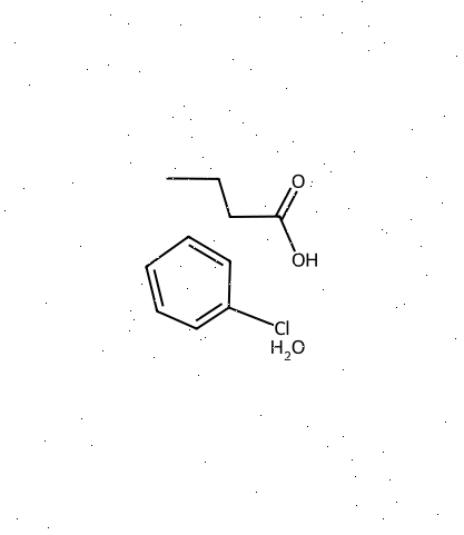 CCCC(=O)O.Clc1ccccc1.O